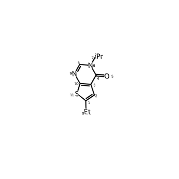 CCc1cc2c(=O)n(C(C)C)cnc2s1